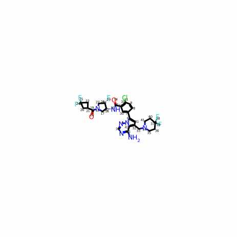 Nc1ncnn2c(-c3ccc(Cl)c(C(=O)N[C@@H]4CN(C(=O)C5CC(F)(F)C5)C[C@@H]4F)c3)cc(CN3CCC(F)(F)CC3)c12